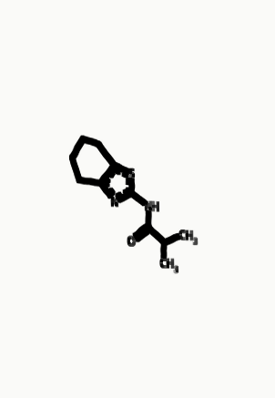 CC(C)C(=O)Nc1nc2c(s1)CCCC2